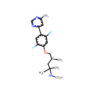 Cc1cc(-c2cc(F)c(OC[C@@H](C)CC(C)(C)NC(=O)O)cc2F)ncn1